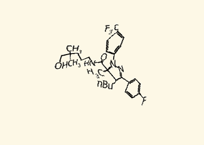 CCCCC1C(c2ccc(F)cc2)=NN(c2ccc(C(F)(F)F)cc2)C1(C)C(=O)NCCCC(C)(C)CO